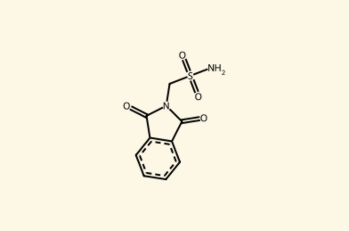 NS(=O)(=O)CN1C(=O)c2ccccc2C1=O